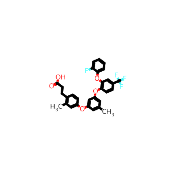 Cc1cc(Oc2ccc(CCC(=O)O)c(C)c2)cc(Oc2ccc(C(F)(F)F)cc2Oc2ccccc2F)c1